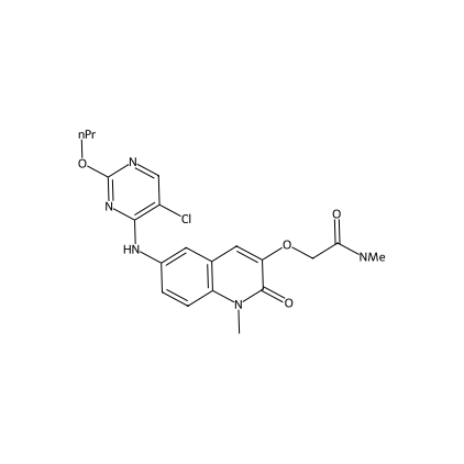 CCCOc1ncc(Cl)c(Nc2ccc3c(c2)cc(OCC(=O)NC)c(=O)n3C)n1